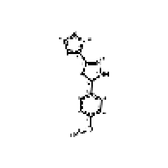 CCCOc1ccc(C2CC(c3cccs3)=NN2)cc1